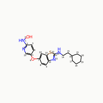 ONc1ccc(Oc2ccc3nc(NCCC4CCCCC4)sc3c2)cn1